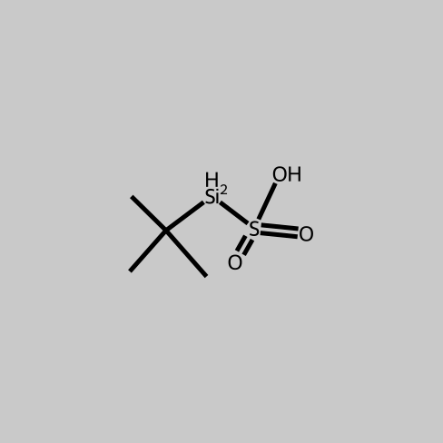 CC(C)(C)[SiH2]S(=O)(=O)O